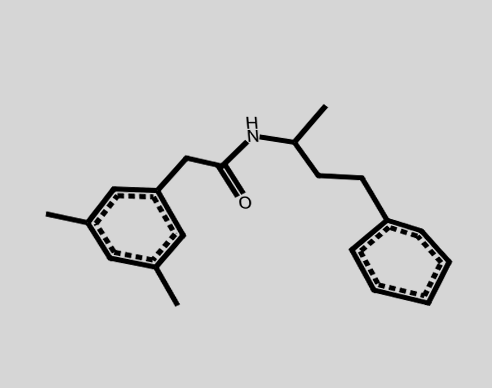 Cc1cc(C)cc(CC(=O)NC(C)CCc2ccccc2)c1